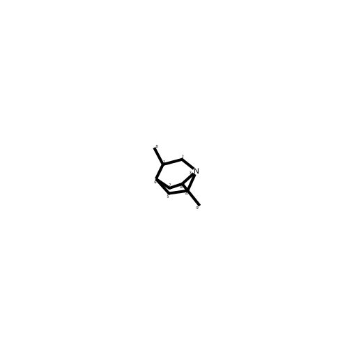 CC1CN2CCC1CC2C